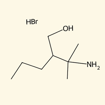 Br.CCCC(CO)C(C)(C)N